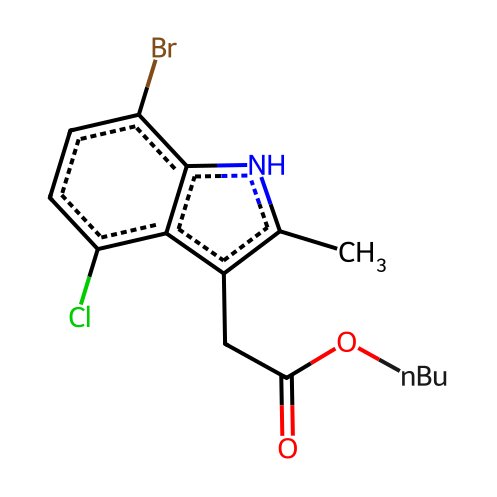 CCCCOC(=O)Cc1c(C)[nH]c2c(Br)ccc(Cl)c12